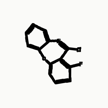 Fc1cccc2c1C(Cl)=Nc1ccccc1O2